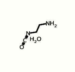 NCCN=C=O.O